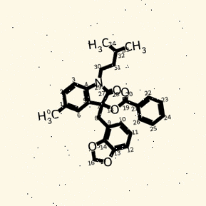 Cc1ccc2c(c1)C(Cc1cccc3c1OCO3)(OC(=O)c1ccccc1)C(=O)N2CCC(C)C